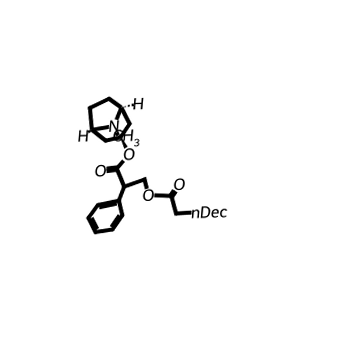 CCCCCCCCCCCC(=O)OCC(C(=O)O[C@H]1C[C@H]2CC[C@@H](C1)N2C)c1ccccc1